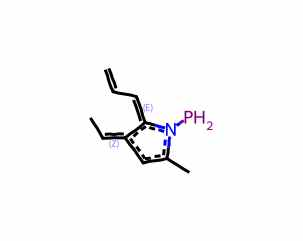 C=C/C=c1\c(=C/C)cc(C)n1P